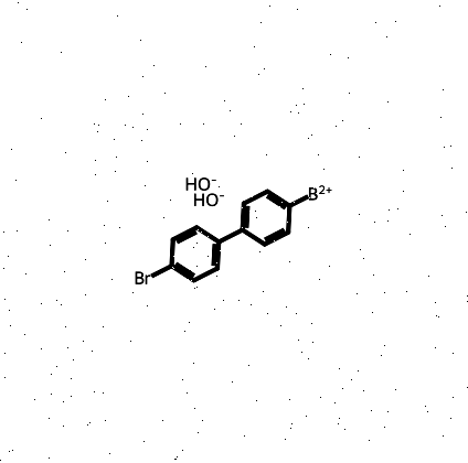 [B+2]c1ccc(-c2ccc(Br)cc2)cc1.[OH-].[OH-]